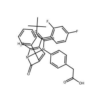 CC(C)(C)OC(=O)N(c1ccc(CC(=O)O)cc1)C1(c2ccccc2)c2cc(C(=O)c3ccc(F)cc3F)c(N)n1c2=O